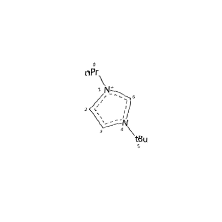 CCC[n+]1ccn(C(C)(C)C)c1